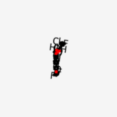 O=C(NCc1cc(F)cc(Cl)c1)[C@@]1(O)CCN(c2ccc(N3CCN([C@@H]4CC[C@@H](c5cc(F)ccc5F)OC4)CC3)nc2)C1=O